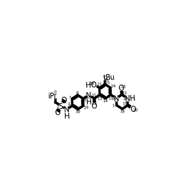 CC(C)CS(=O)(=O)Nc1ccc(NC(=O)c2cc(N3CCC(=O)NC3=O)cc(C(C)(C)C)c2O)cc1